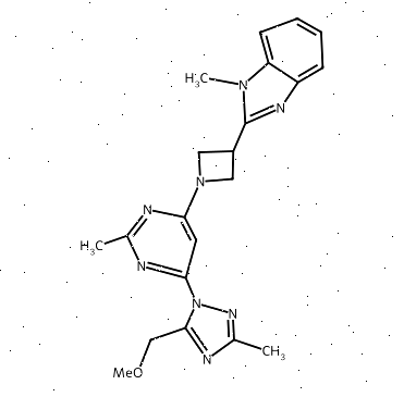 COCc1nc(C)nn1-c1cc(N2CC(c3nc4ccccc4n3C)C2)nc(C)n1